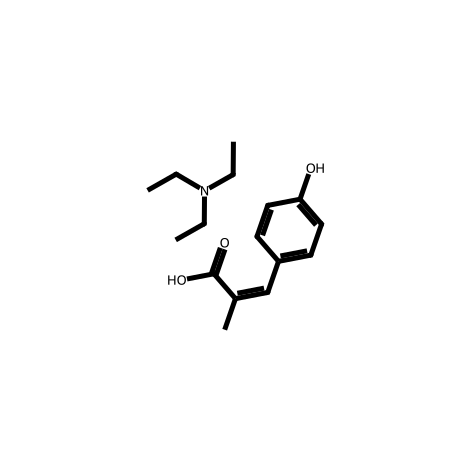 CC(=Cc1ccc(O)cc1)C(=O)O.CCN(CC)CC